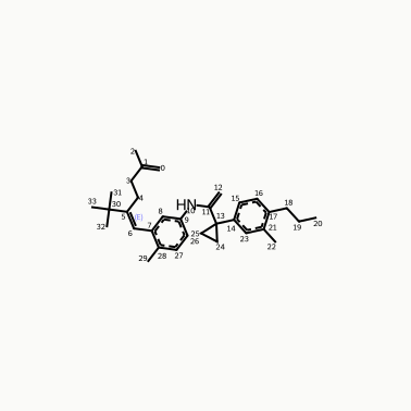 C=C(C)CC/C(=C\c1cc(NC(=C)C2(c3ccc(CCC)c(C)c3)CC2)ccc1C)C(C)(C)C